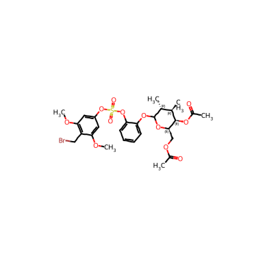 COc1cc(OS(=O)(=O)Oc2ccccc2OC2O[C@H](COC(C)=O)[C@H](OC(C)=O)[C@H](C)[C@H]2C)cc(OC)c1CBr